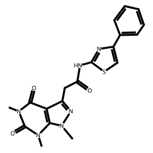 Cn1c(=O)c2c(CC(=O)Nc3nc(-c4ccccc4)cs3)nn(C)c2n(C)c1=O